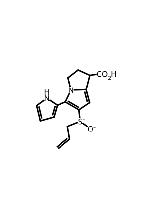 C=CC[S+]([O-])c1cc2n(c1-c1ccc[nH]1)CCC2C(=O)O